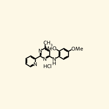 COc1ccc(Nc2cc(C)nc(-c3ccccn3)n2)c(OC)c1.Cl